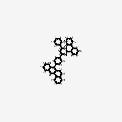 c1ccc(-c2cc(-c3ccc(-c4c5ccccc5cc5c4ccc4ccccc45)cc3)nc(-c3ccccc3-c3cccnc3)n2)cc1